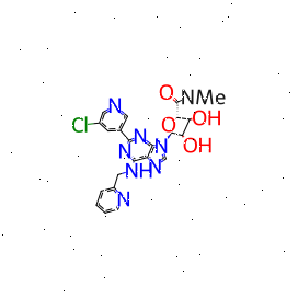 CNC(=O)[C@H]1O[C@H](n2cnc3c(NCc4ccccn4)nc(-c4cncc(Cl)c4)nc32)[C@H](O)[C@@H]1O